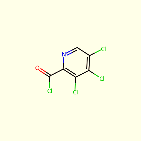 O=C(Cl)c1ncc(Cl)c(Cl)c1Cl